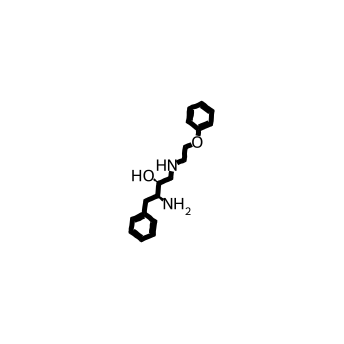 N[C@@H](Cc1ccccc1)[C@H](O)CNCCOc1ccccc1